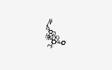 CN(C)CCOc1cc2c(c(C(F)F)c1)CN(C(=O)c1c(O)cc(C(F)F)cc1OCc1ccccc1)CC2